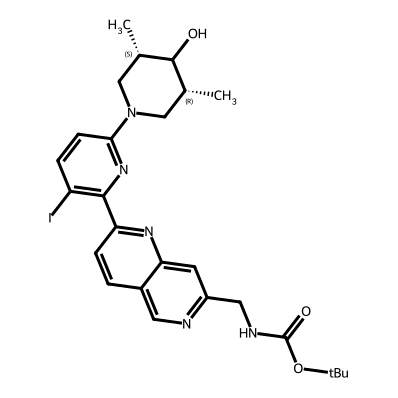 C[C@@H]1CN(c2ccc(I)c(-c3ccc4cnc(CNC(=O)OC(C)(C)C)cc4n3)n2)C[C@H](C)C1O